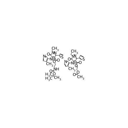 CCn1nc(-c2ccsc2)c(C(=O)OCCNC(=O)OC(C)(C)C)c(Nc2cnccc2C)c1=O.CCn1nc(-c2ccsc2)c(C(=O)OCCOC(C)=O)c(Nc2cnccc2C)c1=O